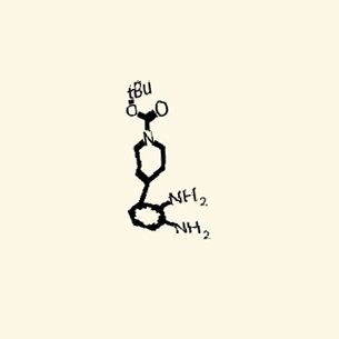 CC(C)(C)OC(=O)N1CCC(c2cccc(N)c2N)CC1